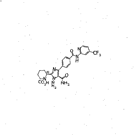 NC(=O)c1c(-c2ccc(C(=O)Nc3cc(C(F)(F)F)ccn3)cc2)nc([C@@H]2CCCCN2C(=O)O)n1N